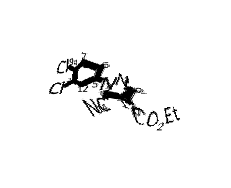 CCOC(=O)c1cnn(-c2ccc(Cl)c(Cl)c2)c1C#N